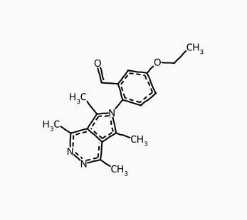 CCOc1ccc(-n2c(C)c3c(C)nnc(C)c3c2C)c(C=O)c1